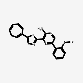 CC(C)Sc1ccccc1-c1cnc(N)c(-c2nnc(C3=CCC=CC=C3)o2)n1